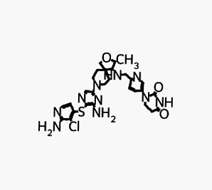 C[C@@H]1OCC2(CCN(c3cnc(Sc4ccnc(N)c4Cl)c(N)n3)CC2)[C@@H]1NCc1ccc(N2CCC(=O)NC2=O)cn1